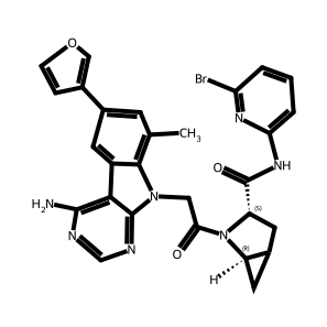 Cc1cc(-c2ccoc2)cc2c3c(N)ncnc3n(CC(=O)N3[C@@H]4CC4C[C@H]3C(=O)Nc3cccc(Br)n3)c12